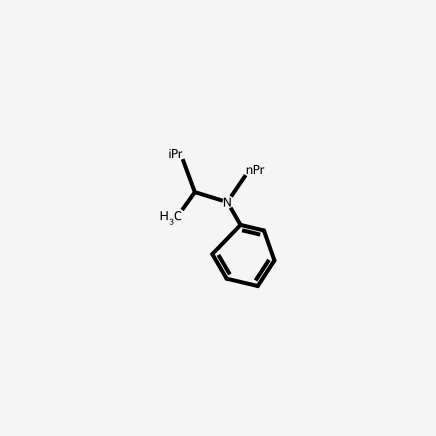 CCCN(c1ccccc1)C(C)C(C)C